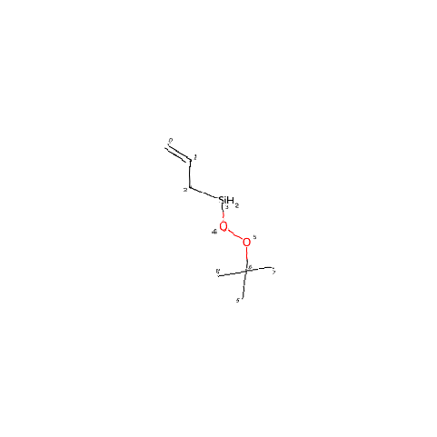 C=CC[SiH2]OOC(C)(C)C